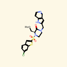 COC[C@H]1C(=O)N(Cc2cc3cnccc3[nH]2)CCN1S(=O)(=O)c1cc2ccc(Cl)cc2s1